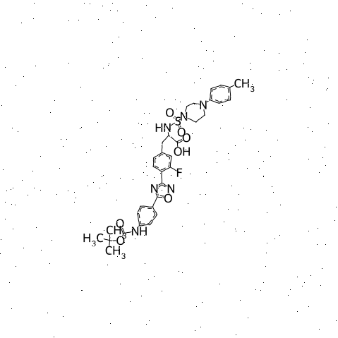 Cc1ccc(N2CCN(S(=O)(=O)NC(Cc3ccc(-c4noc(-c5ccc(NC(=O)OC(C)(C)C)cc5)n4)c(F)c3)C(=O)O)CC2)cc1